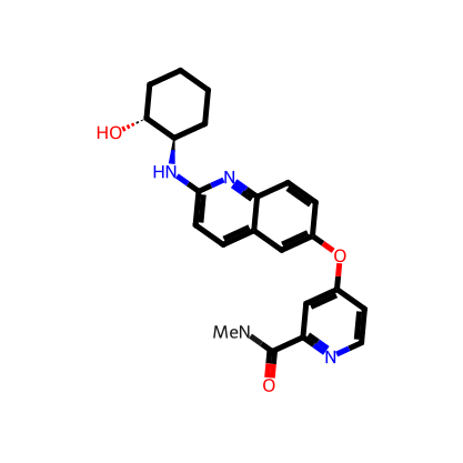 CNC(=O)c1cc(Oc2ccc3nc(N[C@@H]4CCCC[C@H]4O)ccc3c2)ccn1